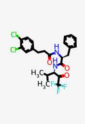 CC(C)[C@H](NC(=O)[C@H](Cc1ccccc1)NC(=O)CCc1ccc(Cl)c(Cl)c1)C(=O)C(F)(F)F